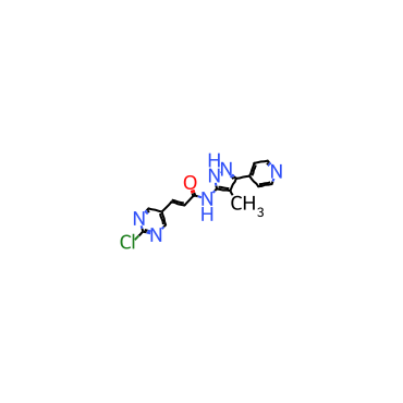 Cc1c(-c2ccncc2)n[nH]c1NC(=O)C=Cc1cnc(Cl)nc1